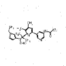 Cc1cc(-c2cncc(NC(=O)C(C)(C)C)c2)nc(C(C)(C)N(C=O)c2cnn(CC(F)(F)F)c2)c1C